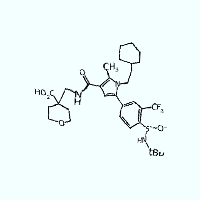 Cc1c(C(=O)NCC2(C(=O)O)CCOCC2)cc(-c2ccc([S+]([O-])NC(C)(C)C)c(C(F)(F)F)c2)n1CC1CCCCC1